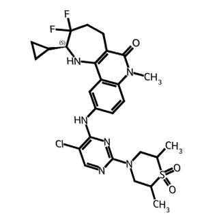 CC1CN(c2ncc(Cl)c(Nc3ccc4c(c3)c3c(c(=O)n4C)CCC(F)(F)[C@H](C4CC4)N3)n2)CC(C)S1(=O)=O